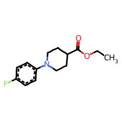 CCOC(=O)C1CCN(c2ccc(F)cc2)CC1